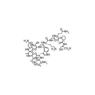 CC(C)[C@H](NC(=O)[C@H](CC(N)=O)NC(=O)[C@H](C)NC(=O)[C@@H](NC(=O)[C@H](Cc1c[nH]c2ccccc12)NC(=O)[C@@H](N)[C@@H](C)O)[C@@H](C)O)C(=O)NCC(=O)N[C@@H](CCCCN)C(=O)NCC(=O)N[C@@H](CCC(N)=O)C(=O)N1CCC[C@H]1C(=O)N[C@@H](CO)C(=O)O